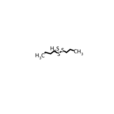 CCCCSSCCC.S